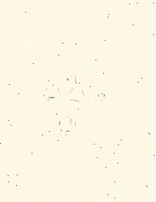 COc1ccc(-c2c(C)ncnc2C2Cc3cncnc3C2)c(C)c1